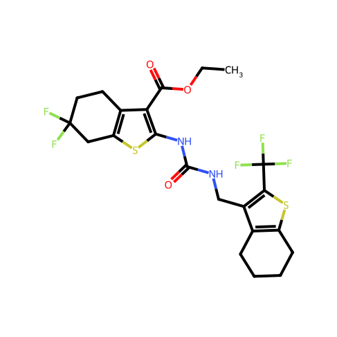 CCOC(=O)c1c(NC(=O)NCc2c(C(F)(F)F)sc3c2CCCC3)sc2c1CCC(F)(F)C2